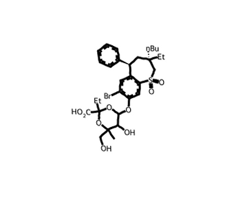 CCCC[C@@]1(CC)C[C@H](c2ccccc2)c2cc(Br)c(OC3OC(CC)(C(=O)O)OC(C)(CO)C3O)cc2S(=O)(=O)C1